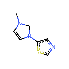 CN1C=[C]N(c2cncs2)C1